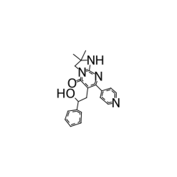 CC1(C)Cn2c(nc(-c3ccncc3)c(CC(O)c3ccccc3)c2=O)N1